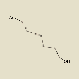 CC(=O)OCCCCCO